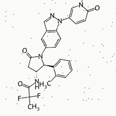 Cc1ccccc1[C@H]1[C@H](NC(=O)C(C)(F)F)CC(=O)N1c1ccc2c(cnn2-c2ccc(=O)n(C)c2)c1